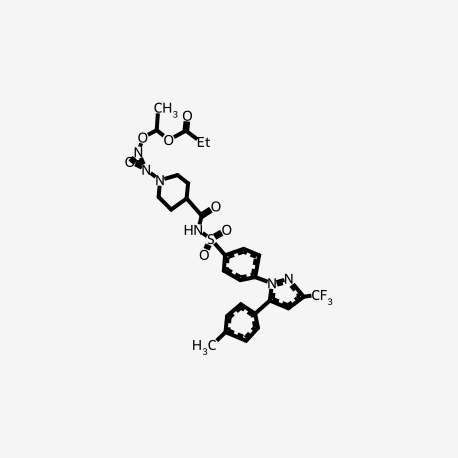 CCC(=O)OC(C)On1on1N1CCC(C(=O)NS(=O)(=O)c2ccc(-n3nc(C(F)(F)F)cc3-c3ccc(C)cc3)cc2)CC1